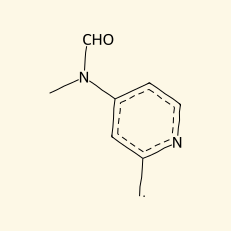 [CH2]c1cc(N(C)C=O)ccn1